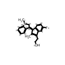 CC1=C(CCO)c2cc(F)ccc2C1=C1CN(C)c2ccccc21